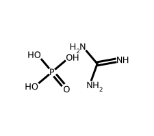 N=C(N)N.O=P(O)(O)O